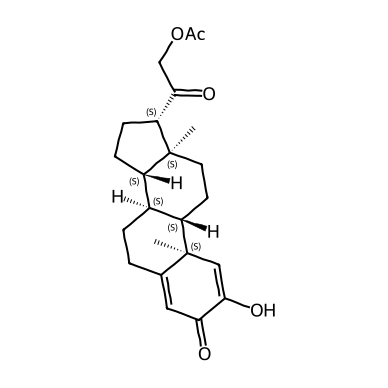 CC(=O)OCC(=O)[C@H]1CC[C@H]2[C@@H]3CCC4=CC(=O)C(O)=C[C@]4(C)[C@H]3CC[C@]12C